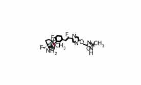 CN1N=C(COc2cnc(/C(F)=C/c3ccc(F)c([C@@]4(C)N=C(N)[C@@]5(CF)CC[C@@H]4S5(=O)=O)c3)cn2)ON1